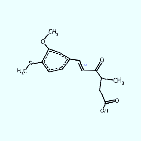 COc1cc(/C=C/C(=O)C(C)CC(=O)O)ccc1SC